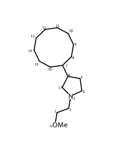 COCCN1CCC(C2CCCCCCCCC2)C1